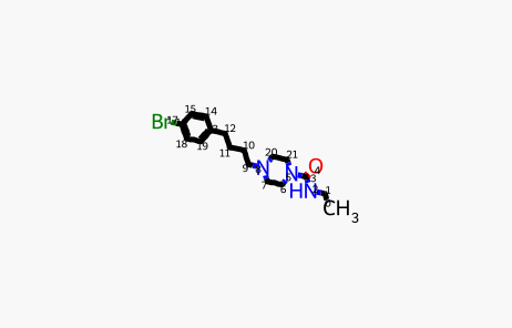 CCNC(=O)N1CCN(CCCCc2ccc(Br)cc2)CC1